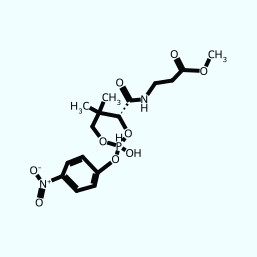 COC(=O)CCNC(=O)[C@@H]1O[PH](O)(Oc2ccc([N+](=O)[O-])cc2)OCC1(C)C